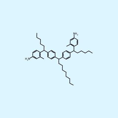 CCCCCCCCC(c1ccc(C(CCCCC)c2ccc(N)cc2C)cc1)c1ccc(C(CCCCC)c2ccc(N)cc2C)cc1